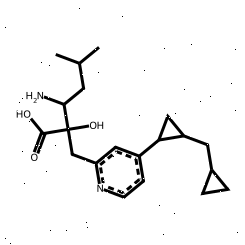 CC(C)CC(N)C(O)(Cc1cc(C2CC2CC2CC2)ccn1)C(=O)O